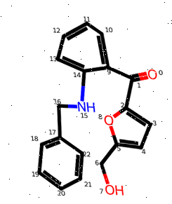 O=C(c1ccc(CO)o1)c1ccccc1NCc1ccccc1